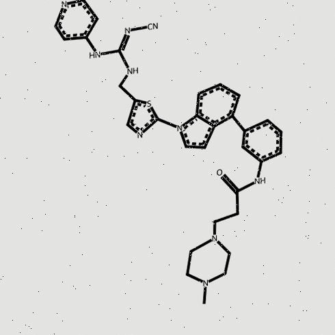 CN1CCN(CCC(=O)Nc2cccc(-c3cccc4c3ccn4-c3ncc(CN/C(=N\C#N)Nc4ccncc4)s3)c2)CC1